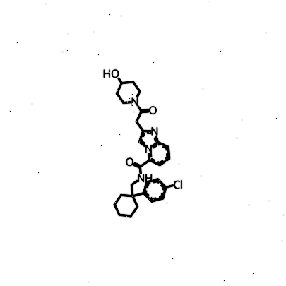 O=C(NCC1(c2ccc(Cl)cc2)CCCCC1)c1cccc2nc(CC(=O)N3CCC(O)CC3)cn12